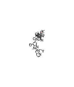 COc1cc(C(=O)N2C[C@H]3C[C@@H](N(C)C(C)=O)[C@@H]2[C@@H]3NC(=O)OC(C)(C)C)cc2nc(-c3cc4cccnc4n3CC3CC3)n(C)c12